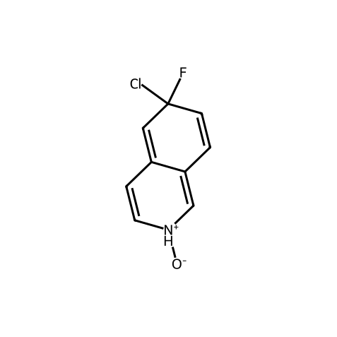 [O-][NH+]1C=CC2=CC(F)(Cl)C=CC2=C1